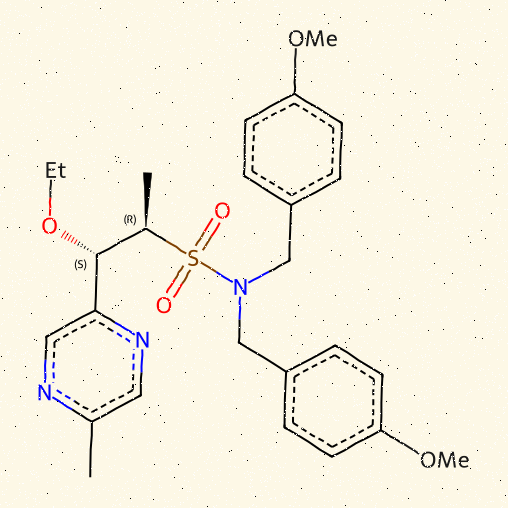 CCO[C@@H](c1cnc(C)cn1)[C@@H](C)S(=O)(=O)N(Cc1ccc(OC)cc1)Cc1ccc(OC)cc1